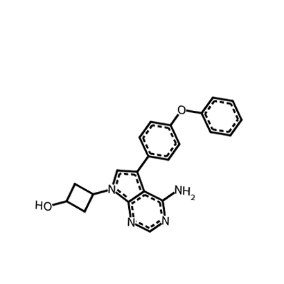 Nc1ncnc2c1c(-c1ccc(Oc3ccccc3)cc1)cn2C1CC(O)C1